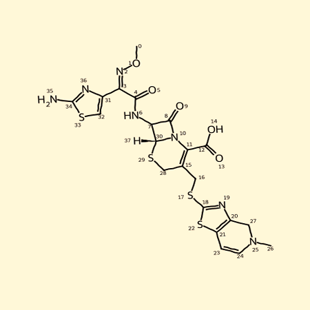 CO/N=C(\C(=O)NC1C(=O)N2C(C(=O)O)=C(CSc3nc4c(s3)C=CN(C)C4)CS[C@H]12)c1csc(N)n1